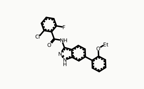 CCOc1ccccc1-c1ccc2c(NC(=O)c3c(F)cccc3Cl)n[nH]c2c1